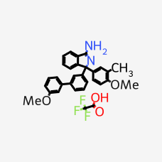 COc1cccc(-c2cccc(C3(c4ccc(OC)c(C)c4)N=C(N)c4ccccc43)c2)c1.O=C(O)C(F)(F)F